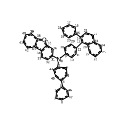 c1ccc(-c2ccc(N(c3ccc(-c4c(-c5ccccc5)ccc5ccccc45)cc3)c3ccc4c(c3)oc3ccccc34)cc2)cc1